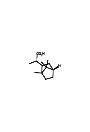 C[C@H](C(=O)O)C1C[C@@H]2CCC1(C)C2(C)C